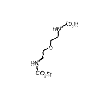 CCOC(=O)NCCOCCNC(=O)OCC